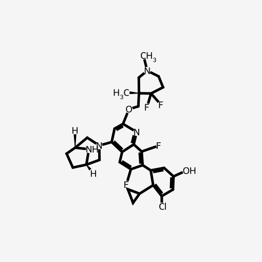 CN1CCC(F)(F)[C@](C)(COc2cc(N3C[C@H]4CC[C@@H](C3)N4)c3cc(F)c(-c4cc(O)cc(Cl)c4C4CC4)c(F)c3n2)C1